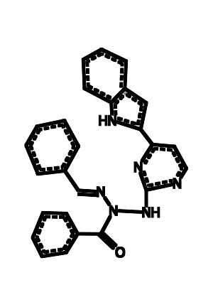 O=C(c1ccccc1)N(N=Cc1ccccc1)Nc1nccc(-c2cc3ccccc3[nH]2)n1